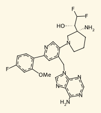 COc1cc(F)ccc1-c1cc(Cn2cnc3c(N)ncnc32)c(N2CCC[C@](N)([C@H](O)C(F)F)C2)cn1